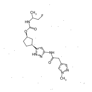 CC(CF)NC(=O)O[C@@H]1CC[C@H](c2cc(NC(=O)Cc3cnn(C)c3)n[nH]2)C1